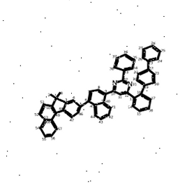 CC1(C)c2cc(-c3ccc(-c4cc(-c5ccccc5-c5ccc(-c6ccccc6)cc5)nc(-c5ccccc5)n4)c4ccccc34)ccc2-c2c1ccc1ccccc21